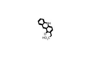 O=C(O)Cc1ccc2[nH]c3ccccc3cc-2c1=O